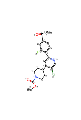 COC(=O)c1ccc(-c2cc(C3CCN(C(=O)OC(C)(C)C)CC3)c(Cl)cn2)c(F)c1